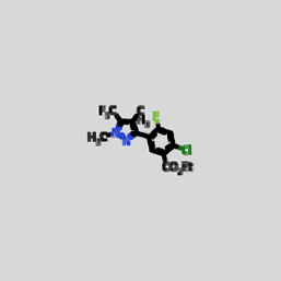 CCOC(=O)c1cc(-c2nn(C)c(C(F)(F)F)c2C)c(F)cc1Cl